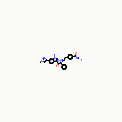 Cn1cc(-c2ccc3c(C(=O)C(NCCc4ccc(C(N)=O)cc4)c4ccccc4)c[nH]c3c2)nn1